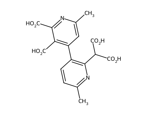 Cc1cc(-c2ccc(C)nc2C(C(=O)O)C(=O)O)c(C(=O)O)c(C(=O)O)n1